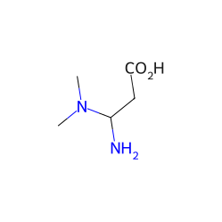 CN(C)C(N)CC(=O)O